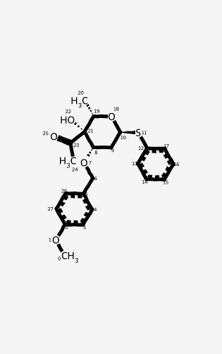 COc1ccc(CO[C@H]2C[C@H](Sc3ccccc3)O[C@@H](C)[C@]2(O)C(C)=O)cc1